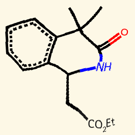 CCOC(=O)CC1NC(=O)C(C)(C)c2ccccc21